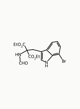 CCOC(=O)C(Cc1c[nH]c2c(Br)cccc12)(NC=O)C(=O)OCC